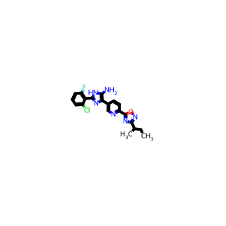 CCC(C)c1noc(-c2ccc(-c3nc(-c4c(F)cccc4Cl)[nH]c3N)cn2)n1